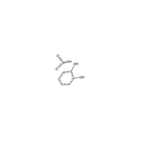 O=[SH](=O)O.Oc1ccccc1O